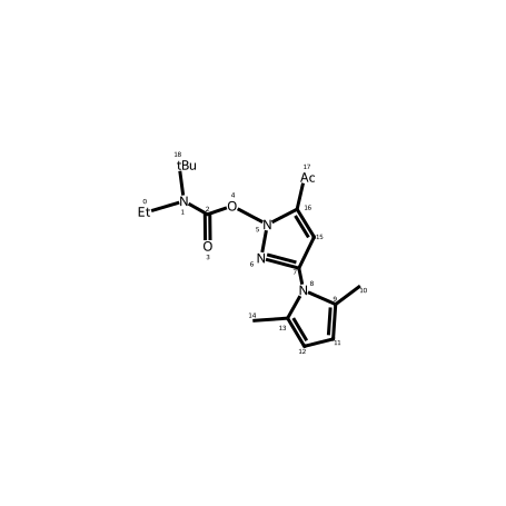 CCN(C(=O)On1nc(-n2c(C)ccc2C)cc1C(C)=O)C(C)(C)C